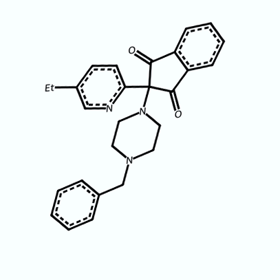 CCc1ccc(C2(N3CCN(Cc4ccccc4)CC3)C(=O)c3ccccc3C2=O)nc1